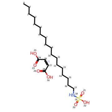 CCCCCCCCCCCCCCCCCCNS(=O)(=O)O.O=C(O)/C=C\C(=O)O